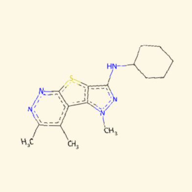 Cc1nnc2sc3c(NC4CCCCC4)nn(C)c3c2c1C